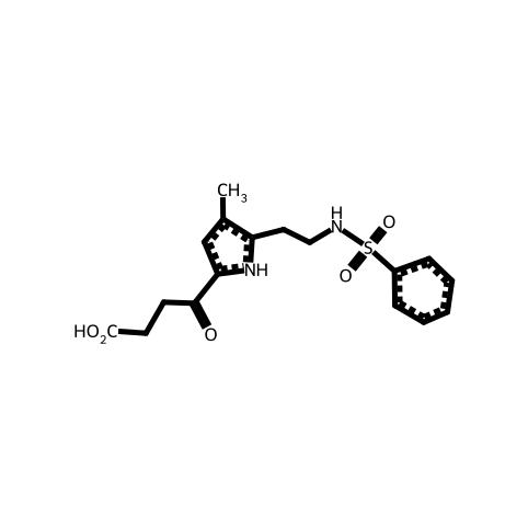 Cc1cc(C(=O)CCC(=O)O)[nH]c1CCNS(=O)(=O)c1ccccc1